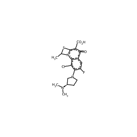 CC1Sc2c(C(=O)O)c(=O)c3cc(F)c(N4CC[C@@H](N(C)C)C4)c(Cl)c3n21